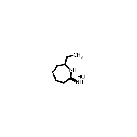 CCC1CSCCC(=N)N1.Cl